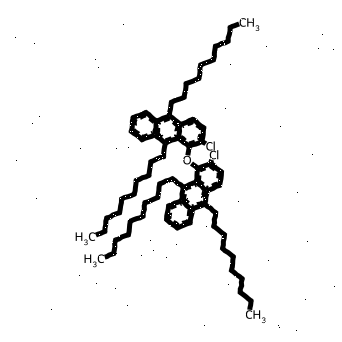 CCCCCCCCCCc1c2ccccc2c(CCCCCCCCCC)c2c(Oc3c(Cl)ccc4c(CCCCCCCCCC)c5ccccc5c(CCCCCCCCCC)c34)c(Cl)ccc12